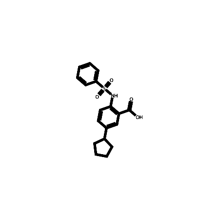 O=C(O)c1cc(C2CCCC2)ccc1NS(=O)(=O)c1ccccc1